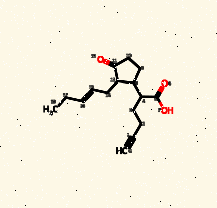 C#CCCC(C(=O)O)C1CCC(=O)C1CC=CCC